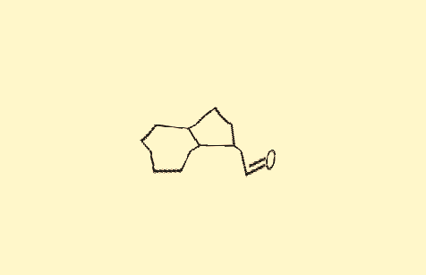 O=CC1CCC2CCCCC12